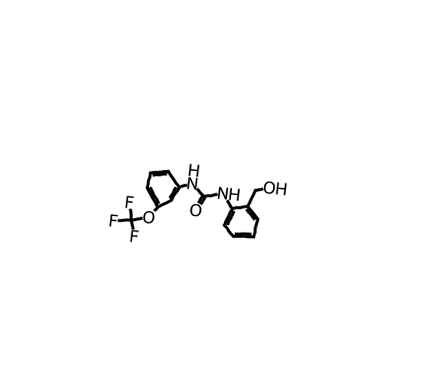 O=C(Nc1cccc(OC(F)(F)F)c1)Nc1ccccc1CO